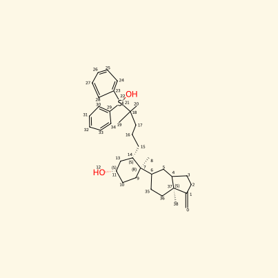 C=C1CCC2CC([C@@]3(C)CC[C@H](O)C[C@@H]3CCCC(C)(C)[Si](O)(c3ccccc3)c3ccccc3)CC[C@]12C